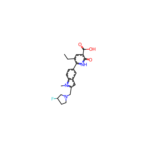 CCc1cc(C(=O)O)c(=O)[nH]c1-c1ccc2c(c1)cc(CN1CC[C@@H](F)C1)n2C